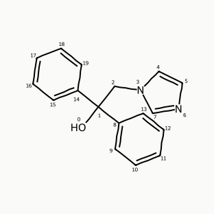 OC(Cn1ccnc1)(c1ccccc1)c1ccccc1